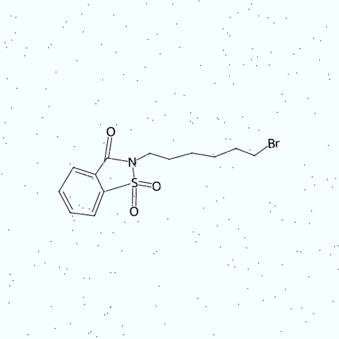 O=C1c2ccccc2S(=O)(=O)N1CCCCCCBr